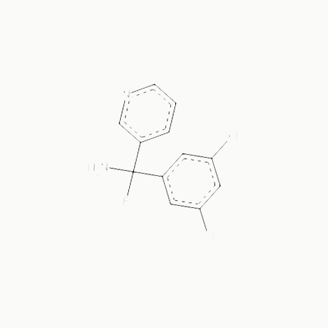 CCC(N)(c1cccnc1)c1cc(Cl)cc(Cl)c1